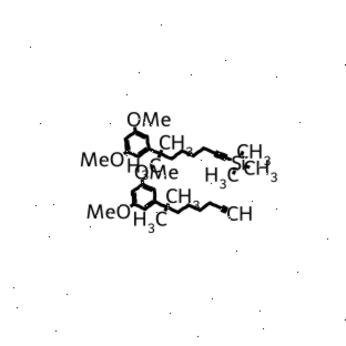 C#CCCCCC(C)(C)c1cc(OC)cc(OC)c1.COc1cc(OC)cc(C(C)(C)CCCCC#C[Si](C)(C)C)c1